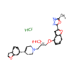 Cc1nnc(-c2cc3c(OC[C@@H](O)CN4CC=C(c5ccc6ccoc6c5)CC4)cccc3o2)o1.Cl